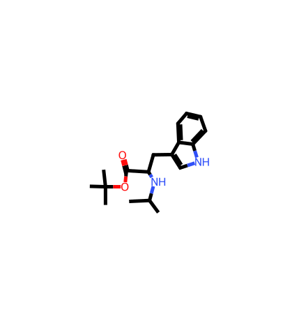 CC(C)NC(Cc1c[nH]c2ccccc12)C(=O)OC(C)(C)C